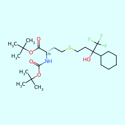 CC(C)(C)OC(=O)N[C@@H](CCSCCC(O)(C1CCCCC1)C(F)(F)F)C(=O)OC(C)(C)C